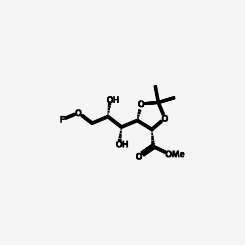 COC(=O)[C@H]1OC(C)(C)O[C@H]1[C@H](O)[C@@H](O)COF